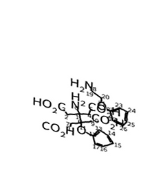 NC(CC(=O)O)(CC(=O)O)C(CC(=O)O)(CC(=O)O)Oc1ccccc1.NCCOc1ccccc1